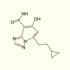 [NH]C(=O)c1c(O)cc(CCC2CC2)n2ncnc12